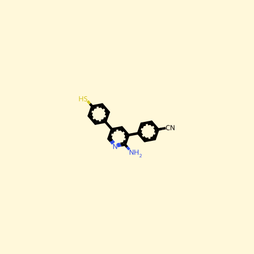 N#Cc1ccc(-c2cc(-c3ccc(S)cc3)cnc2N)cc1